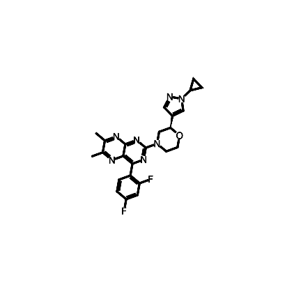 Cc1nc2nc(N3CCO[C@H](c4cnn(C5CC5)c4)C3)nc(-c3ccc(F)cc3F)c2nc1C